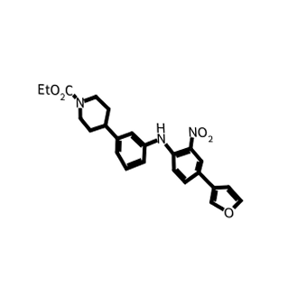 CCOC(=O)N1CCC(c2cccc(Nc3ccc(-c4ccoc4)cc3[N+](=O)[O-])c2)CC1